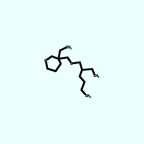 CCCCC(CC)COCC1(CC)CCCOC1